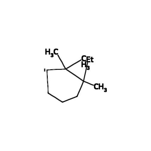 CCC1(C)CCC[C]C1(C)C